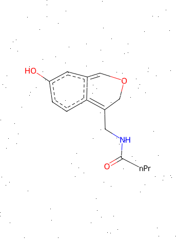 CCCC(=O)NCC1=c2ccc(O)cc2=COC1